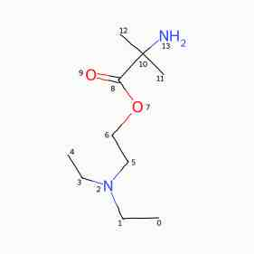 CCN(CC)CCOC(=O)C(C)(C)N